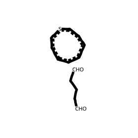 O=CCCCC=O.c1ccccsccc1